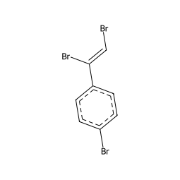 BrC=C(Br)c1ccc(Br)cc1